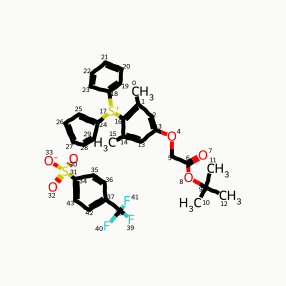 Cc1cc(OCC(=O)OC(C)(C)C)cc(C)c1[S+](c1ccccc1)c1ccccc1.O=S(=O)([O-])c1ccc(C(F)(F)F)cc1